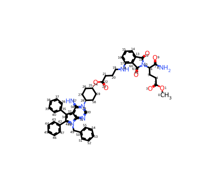 COC(=O)CCC(C(N)=O)N1C(=O)c2cccc(NCCCC(=O)O[C@H]3CC[C@H](n4cnc5c(c(-c6ccccc6)c(-c6ccccc6)n5Cc5ccccc5)c4=N)CC3)c2C1=O